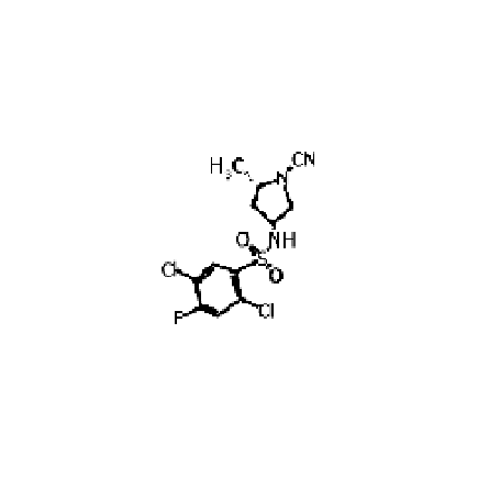 C[C@H]1C[C@@H](NS(=O)(=O)c2cc(Cl)c(F)cc2Cl)CN1C#N